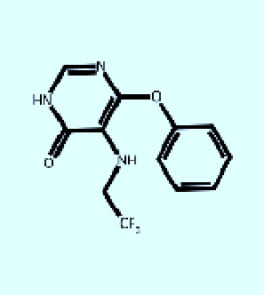 O=c1[nH]cnc(Oc2ccccc2)c1NCC(F)(F)F